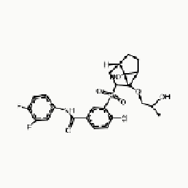 C[C@H](O)COC[C@@]1(O)C2CC[C@H]1C[C@H](S(=O)(=O)c1cc(C(=O)Nc3ccc(F)c(F)c3)ccc1Cl)C2